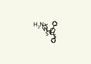 CC1(C)CN(C(=S)C23CC4CC(c5ccccc5)(CC(C2)C4Sc2ccccc2)C3)CC[C@@H]1N